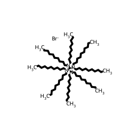 CCCCCCCCCCN(CCCCCCCCCC)[P+](N(CCCCCCCCCC)CCCCCCCCCC)(N(CCCCCCCCCC)CCCCCCCCCC)N(CCCCCCCCCC)CCCCCCCCCC.[Br-]